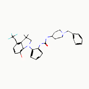 CC1(C)CN(c2ccccc2NC(=O)NC2CCN(Cc3ccccc3)CC2)c2c(O)ccc(C(F)(F)F)c21